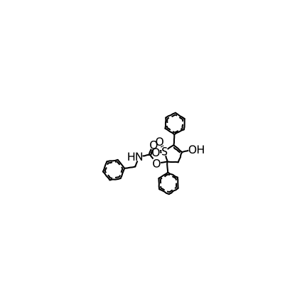 O=C(NCc1ccccc1)OC1(c2ccccc2)CC(O)=C(c2ccccc2)S1(=O)=O